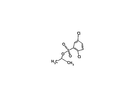 CC(C)OS(=O)(=O)c1cc(Cl)ccc1Cl